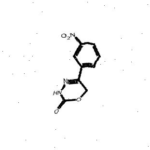 O=C1NN=C(c2cccc([N+](=O)[O-])c2)CO1